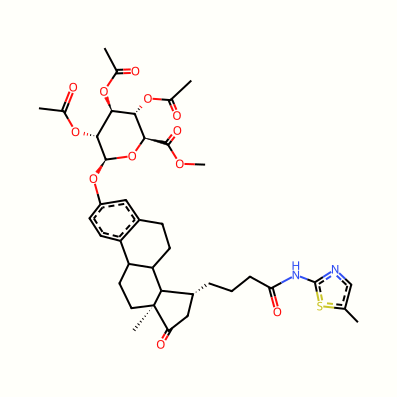 COC(=O)[C@H]1O[C@@H](Oc2ccc3c(c2)CCC2C3CC[C@]3(C)C(=O)C[C@@H](CCCC(=O)Nc4ncc(C)s4)C23)[C@H](OC(C)=O)[C@@H](OC(C)=O)[C@@H]1OC(C)=O